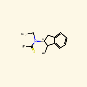 CC(=O)C1c2ccccc2C[C@@H]1N(CC(=O)O)C(=S)C(C)C